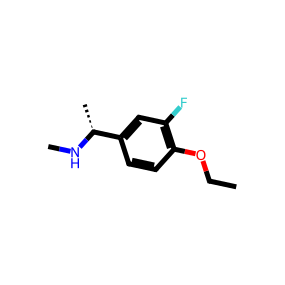 CCOc1ccc([C@@H](C)NC)cc1F